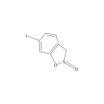 O=S1Cc2ccc(I)cc2O1